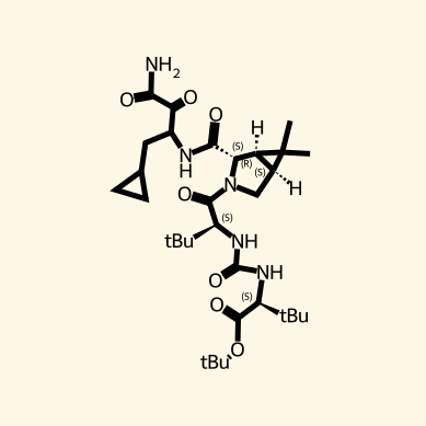 CC(C)(C)OC(=O)[C@@H](NC(=O)N[C@H](C(=O)N1C[C@H]2[C@@H]([C@H]1C(=O)NC(CC1CC1)C(=O)C(N)=O)C2(C)C)C(C)(C)C)C(C)(C)C